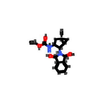 CC(C)(C)OC(=O)N[C@H]1C[C@H]2CC2[C@H]1N1C(=O)c2ccccc2C1=O